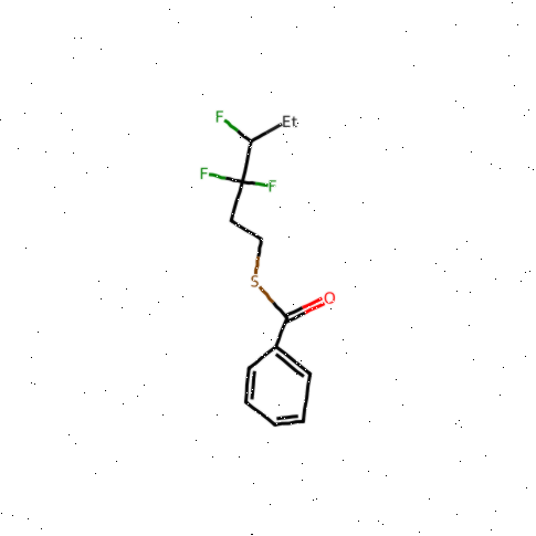 CCC(F)C(F)(F)CCSC(=O)c1ccccc1